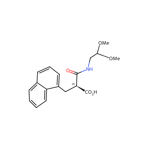 COC(CNC(=O)[C@H](Cc1cccc2ccccc12)C(=O)O)OC